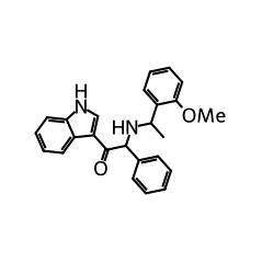 COc1ccccc1C(C)NC(C(=O)c1c[nH]c2ccccc12)c1ccccc1